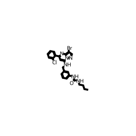 CCCCNC(=O)Nc1cccc(CNc2cc(-c3ccccc3Cl)nc3c(Br)cnn23)c1